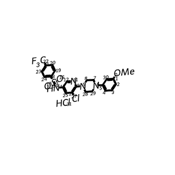 COc1cccc(N2CCN(c3ncc(NS(=O)(=O)c4ccc(C(F)(F)F)cc4)cc3Cl)CC2)c1.Cl